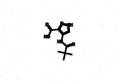 CC(C)(C)C(=O)Nc1c[nH]nc1C(=O)O